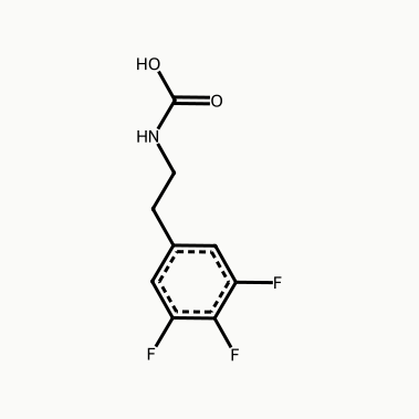 O=C(O)NCCc1cc(F)c(F)c(F)c1